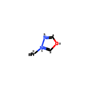 CCC[n+]1cocn1